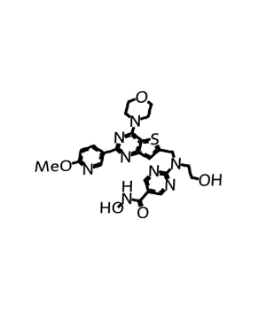 COc1ccc(-c2nc(N3CCOCC3)c3sc(CN(CCO)c4ncc(C(=O)NO)cn4)cc3n2)cn1